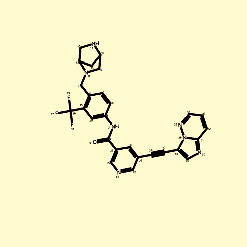 O=C(Nc1ccc(CN2CC3CC2CN3)c(C(F)(F)F)c1)c1cncc(C#Cc2cnc3cccnn23)c1